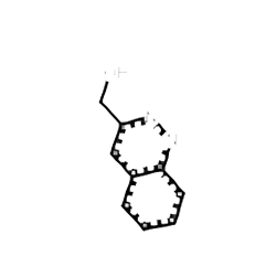 OCc1cc2ccccc2nn1